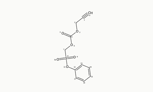 C#CCOC(=O)OCS(=O)(=O)Oc1ccccc1